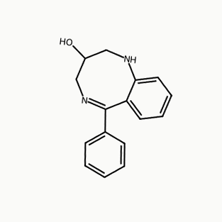 OC1C/N=C(/c2ccccc2)c2ccccc2NC1